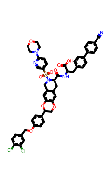 N#Cc1ccc(-c2ccc(CC(NC(=O)C3Cc4cc5c(cc4CN3S(=O)(=O)c3ccc(N4CCOCC4)nc3)OC(c3ccc(OCc4ccc(Cl)c(Cl)c4)cc3)CO5)C(=O)O)cc2)cc1